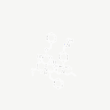 COC(=O)C[C@H](NC(=O)OCc1ccccc1)C(=O)N[C@@H](Cc1ccccc1)[C@H](O)CN(CC(C)C)S(=O)(=O)c1ccc(/C=N/O)cc1